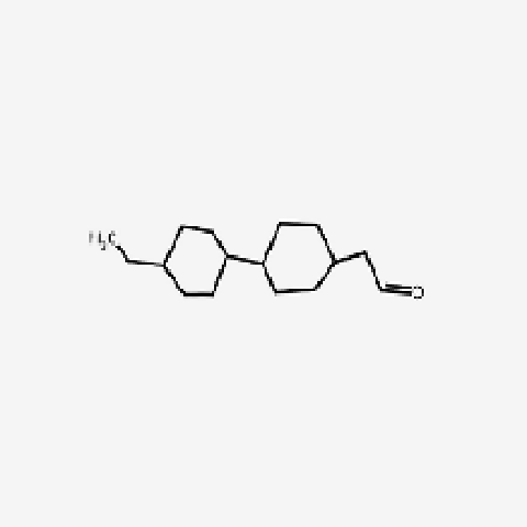 CCC1CCC(C2CCC(CC=O)CC2)CC1